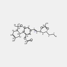 CCCCCC(/C=C/c1cc(OC(C)=O)c2c(c1)OC(C)(C)C1CC=C(C)CC21)OC(C)=O